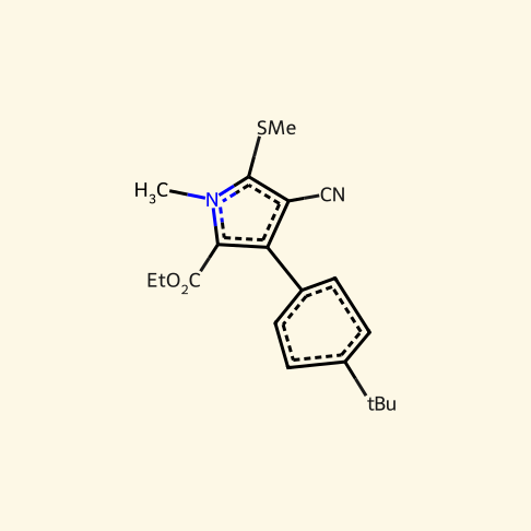 CCOC(=O)c1c(-c2ccc(C(C)(C)C)cc2)c(C#N)c(SC)n1C